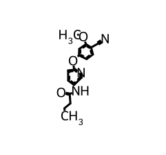 CCCC(=O)Nc1ccc(Oc2ccc(C#N)c(OC)c2)nc1